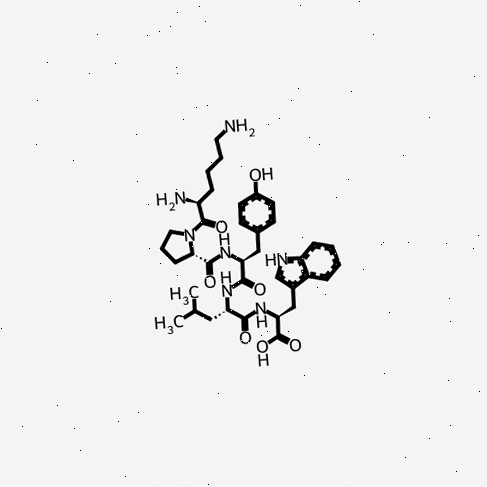 CC(C)C[C@H](NC(=O)[C@H](Cc1ccc(O)cc1)NC(=O)[C@@H]1CCCN1C(=O)[C@@H](N)CCCCN)C(=O)N[C@@H](Cc1c[nH]c2ccccc12)C(=O)O